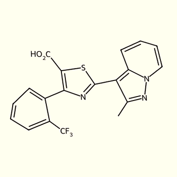 Cc1nn2ccccc2c1-c1nc(-c2ccccc2C(F)(F)F)c(C(=O)O)s1